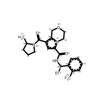 CC[C@@H](NC(=O)c1cc(C(=O)N2CCCC2C)c2n1CCOC2)c1ccccc1C(F)(F)F